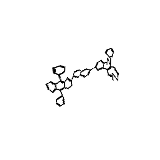 C1=C(c2ccc3cc(-c4ccc5c(c4)c4cnccc4n5-c4ccccc4)ccc3c2)CCc2c1c(-c1ccccc1)c1ccccc1c2-c1ccccc1